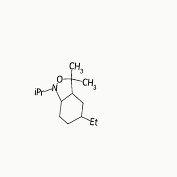 CCC1CCC2C(C1)C(C)(C)ON2C(C)C